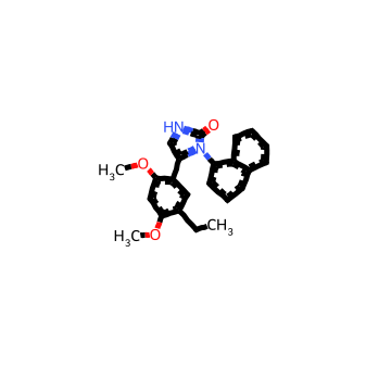 CCc1cc(-c2c[nH]c(=O)n2-c2cccc3ccccc23)c(OC)cc1OC